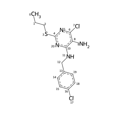 CCCSc1nc(Cl)c(N)c(NCc2ccc(Cl)cc2)n1